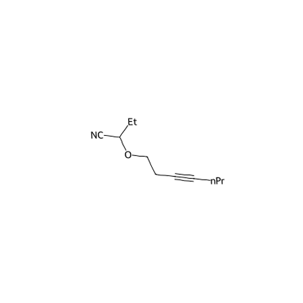 CCCC#CCCOC(C#N)CC